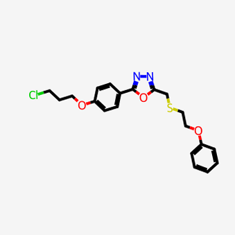 ClCCCOc1ccc(-c2nnc(CSCCOc3ccccc3)o2)cc1